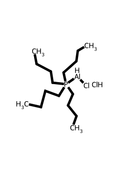 CCCC[P](CCCC)(CCCC)(CCCC)[AlH][Cl].Cl